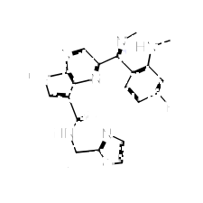 C/N=C(/c1cnc2[nH]cc(C(=O)N[C@@H](C)c3ncco3)c2n1)c1ccc(F)cc1NC